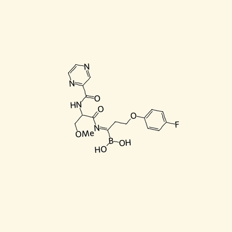 COCC(NC(=O)c1cnccn1)C(=O)/N=C(\CCOc1ccc(F)cc1)B(O)O